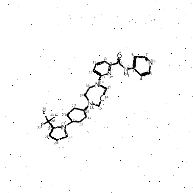 O=C(Nc1ccncc1)c1cccc(N2CCCN(C3CCC(N4CCCC4C(F)(F)F)CC3)CC2)n1